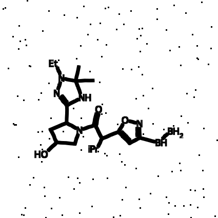 BBc1cc(C(C(=O)N2CC(O)CC2C2=NN(CC)C(C)(C)N2)C(C)C)on1